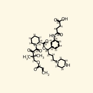 C=CC(=O)OCC(C)(C)C(=O)C(=O)N1CCCC[C@H]1C(=O)O[C@H](CCCN1CCNCC1)c1cccc(NC(=O)CCC(=O)O)c1